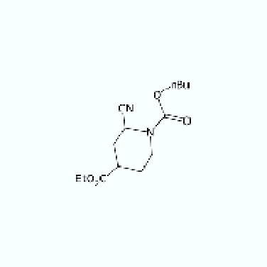 CCCCOC(=O)N1CCC(C(=O)OCC)CC1C#N